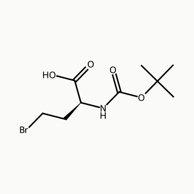 CC(C)(C)OC(=O)N[C@@H](CCBr)C(=O)O